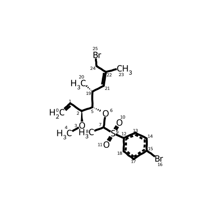 C=C[C@H](OC)[C@@H](OC(C)S(=O)(=O)c1ccc(Br)cc1)[C@H](C)/C=C(/C)CBr